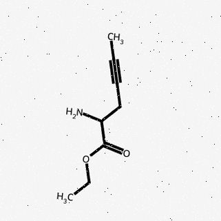 CC#CCC(N)C(=O)OCC